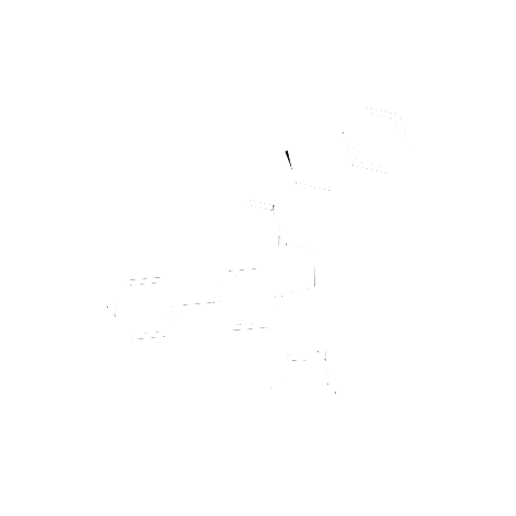 C[C@@H](Cc1ccccc1)C(=O)N1CCc2c(-c3nnco3)cc(-c3ccncc3)cc21